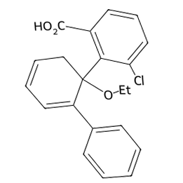 CCOC1(c2c(Cl)cccc2C(=O)O)CC=CC=C1c1ccccc1